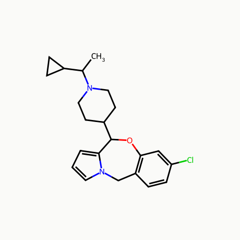 CC(C1CC1)N1CCC(C2Oc3cc(Cl)ccc3Cn3cccc32)CC1